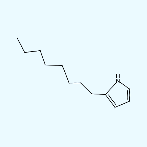 CCCCCCCCc1[c]cc[nH]1